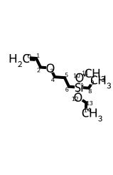 C=CCOCCC[Si](CC)(OC)OCC